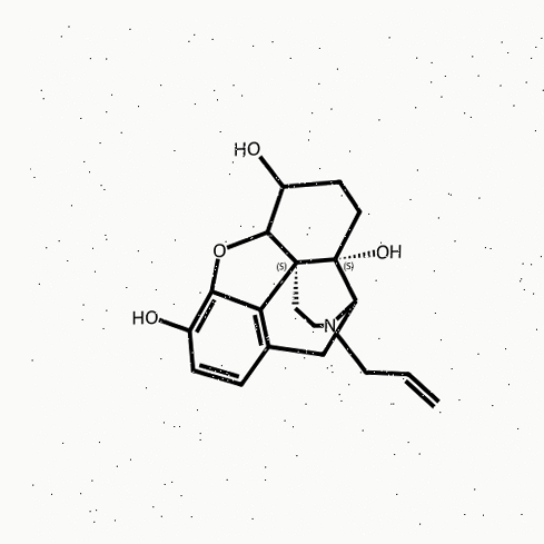 C=CCN1CC[C@]23c4c5ccc(O)c4OC2C(O)CC[C@@]3(O)C1C5